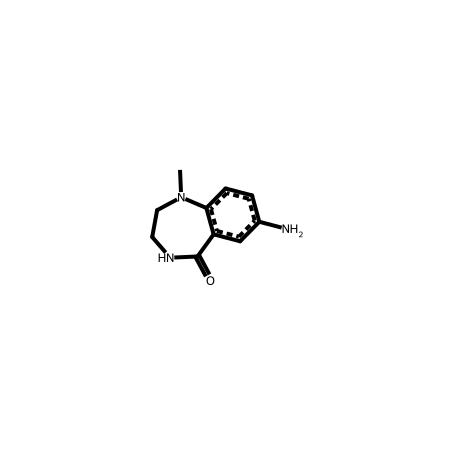 CN1CCNC(=O)c2cc(N)ccc21